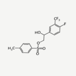 Cc1ccc(S(=O)(=O)OCC(O)c2ccc(F)c(C(F)(F)F)c2)cc1